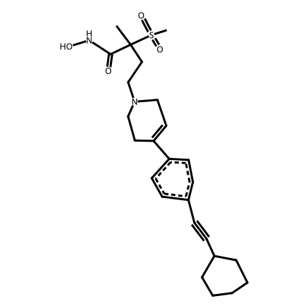 CC(CCN1CC=C(c2ccc(C#CC3CCCCC3)cc2)CC1)(C(=O)NO)S(C)(=O)=O